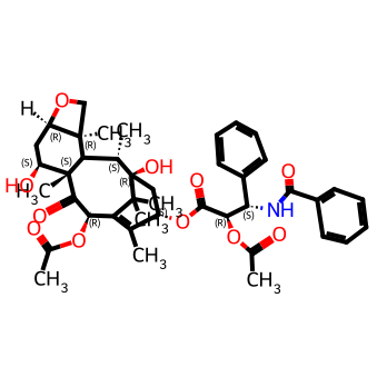 CC(=O)O[C@H]1C(=O)[C@@]2(C)C([C@H](C)[C@]3(O)C[C@H](OC(=O)[C@H](OC(C)=O)[C@@H](NC(=O)c4ccccc4)c4ccccc4)C(C)=C1C3(C)C)[C@]1(C)CO[C@@H]1C[C@@H]2O